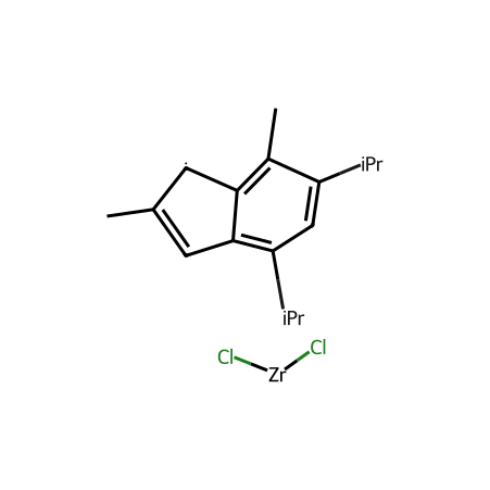 CC1=Cc2c(C(C)C)cc(C(C)C)c(C)c2[CH]1.[Cl][Zr][Cl]